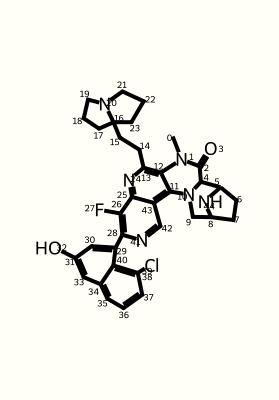 CN1C(=O)C2C3CCC(CN2c2c1c(CCC14CCCN1CCC4)nc1c(F)c(-c4cc(O)cc5cccc(Cl)c45)ncc21)N3